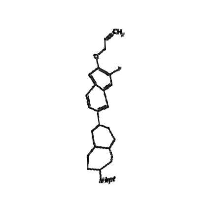 C=CCOc1cc2ccc(C3CCC4CC(CCCCCCC)CCC4C3)cc2cc1F